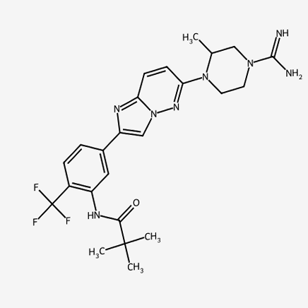 CC1CN(C(=N)N)CCN1c1ccc2nc(-c3ccc(C(F)(F)F)c(NC(=O)C(C)(C)C)c3)cn2n1